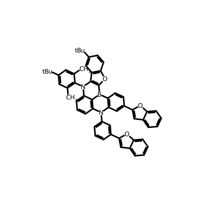 Cc1cc(C(C)(C)C)cc(C)c1N1c2cccc3c2B(c2ccc(-c4cc5ccccc5o4)cc2N3c2cccc(-c3cc4ccccc4o3)c2)c2oc3ccc(C(C)(C)C)cc3c21